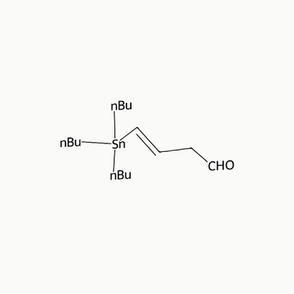 CCC[CH2][Sn]([CH]=CCC=O)([CH2]CCC)[CH2]CCC